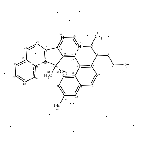 CC1C(CCO)c2ccc3cc(C(C)(C)C)ccc3c2-c2c3c(nc[n+]21)-c1ccc2ccccc2c1C3(C)C